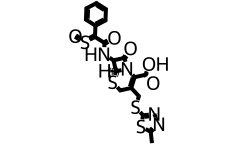 Cc1nnc(SCC2=C(C(=O)O)N3C(=O)C(NC(=O)C(=S=O)c4ccccc4)[C@H]3SC2)s1